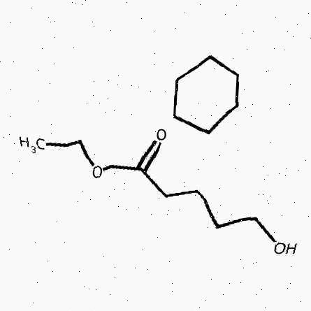 C1CCCCC1.CCOC(=O)CCCCO